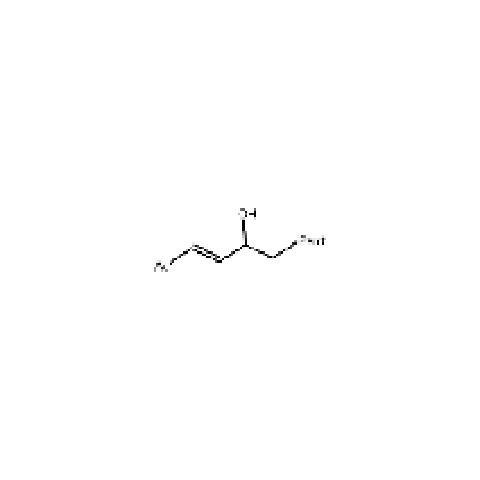 CCCC(C)CC(O)/C=C/C(C)=O